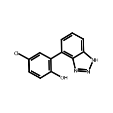 Oc1ccc(Cl)cc1-c1cccc2[nH]nnc12